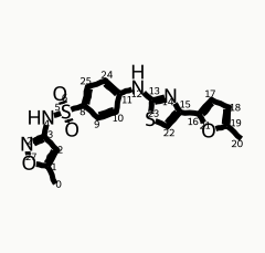 Cc1cc(NS(=O)(=O)c2ccc(Nc3nc(-c4ccc(C)o4)cs3)cc2)no1